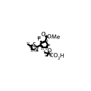 COC(=O)c1cc(OC(C)(C)C(=O)O)cc(-c2ncc(C)s2)c1F